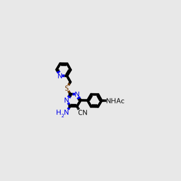 CC(=O)Nc1ccc(-c2nc(SCc3ccccn3)nc(N)c2C#N)cc1